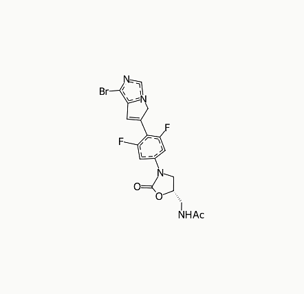 CC(=O)NC[C@H]1CN(c2cc(F)c(C3=Cc4c(Br)ncn4C3)c(F)c2)C(=O)O1